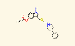 CCCC(=O)Oc1ccc2[nH]cc(CSCCN3CCC(c4ccccc4)CC3)c2c1